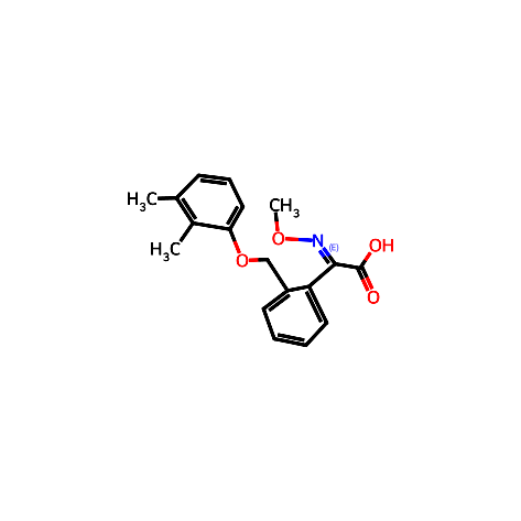 CO/N=C(/C(=O)O)c1ccccc1COc1cccc(C)c1C